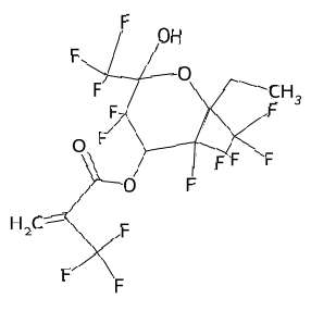 C=C(C(=O)OC1C(F)(F)C(O)(C(F)(F)F)OC(CC)(C(F)(F)F)C1(F)F)C(F)(F)F